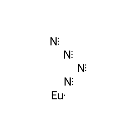 [Eu].[N].[N].[N].[N]